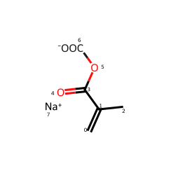 C=C(C)C(=O)OC(=O)[O-].[Na+]